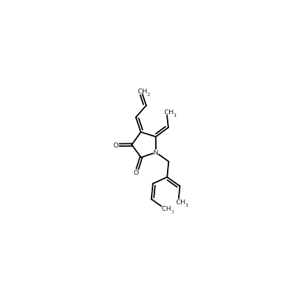 C=C/C=C1/C(=O)C(=O)N(CC(/C=C\C)=C/C)/C1=C/C